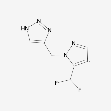 FC(F)c1[c]cnn1Cc1c[nH]nn1